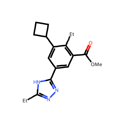 CCc1nnc(-c2cc(C(=O)OC)c(CC)c(C3CCC3)c2)[nH]1